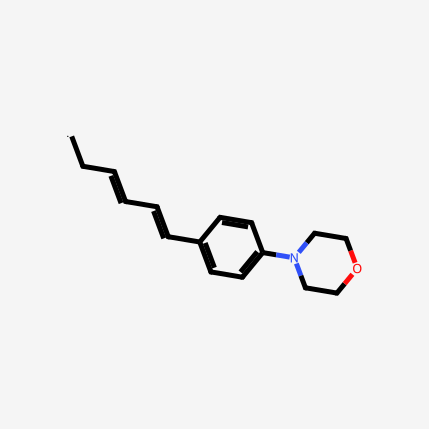 [CH2]CC=CC=Cc1ccc(N2CCOCC2)cc1